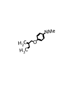 C=CC(=C)COc1ccc(NC)cc1